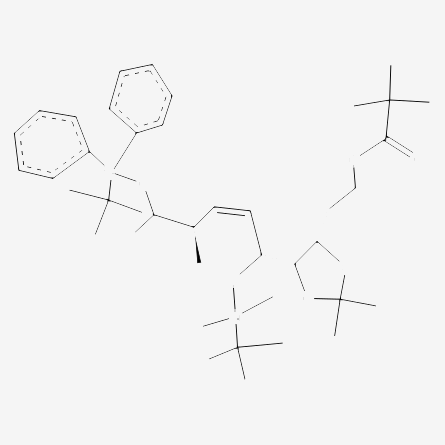 CC(O[Si](c1ccccc1)(c1ccccc1)C(C)(C)C)[C@H](C)/C=C\C(O[Si](C)(C)C(C)(C)C)[C@H]1OC(C)(C)O[C@H]1CCOC(=O)C(C)(C)C